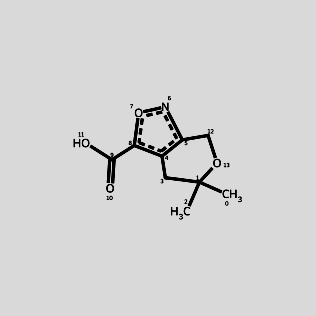 CC1(C)Cc2c(noc2C(=O)O)CO1